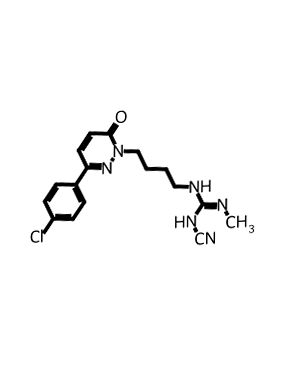 C/N=C(\NC#N)NCCCCn1nc(-c2ccc(Cl)cc2)ccc1=O